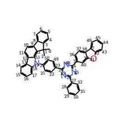 CC1(C)c2ccccc2-c2ccc3c4ccccc4n(-c4ccc(-c5nc(-c6ccccc6)nc(-c6ccc7c(c6)oc6ccccc67)n5)cc4)c3c21